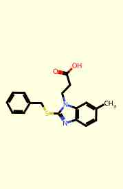 Cc1ccc2nc(SCc3ccccc3)n(CCC(=O)O)c2c1